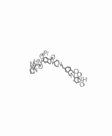 CC(C)Oc1cc2c(cc1NC(=O)c1cnn3cccnc13)CN(C1CCN(CCc3ccc4c(c3)CN(C3CCC(=O)NC3=O)C4=O)CC1)C2=O